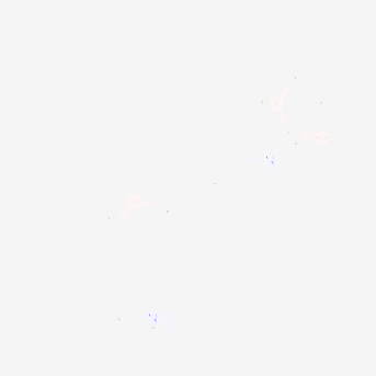 Cc1ccc(OCCC2CCC(C)N(C(=O)OC(C)(C)C)C2)cc1CN